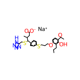 CCCc1c(OCCCSc2ccc(C(SCc3nnn[nH]3)C(C)CC(=O)[O-])cc2)ccc(C(C)=O)c1O.[Na+]